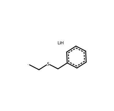 [CH2]CSCc1ccccc1.[LiH]